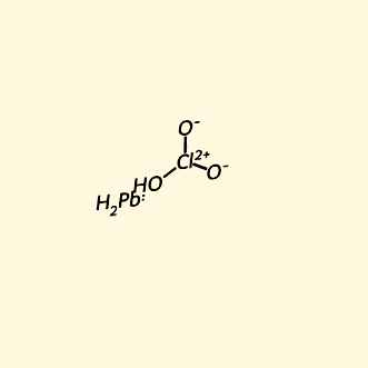 [O-][Cl+2]([O-])O.[PbH2]